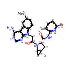 COc1ccc2c(c1)c1c(N)ncnc1n2CC(=O)N1C2C[C@]2(C)C[C@H]1C(=O)Nc1nc(Br)ccc1C